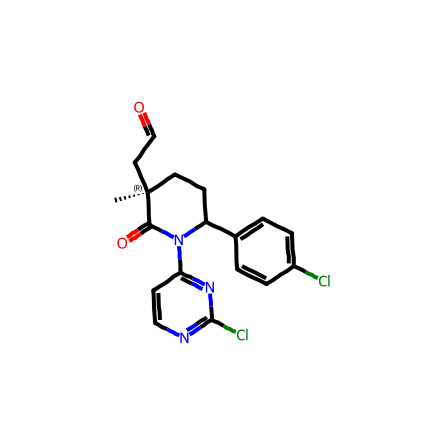 C[C@]1(CC=O)CCC(c2ccc(Cl)cc2)N(c2ccnc(Cl)n2)C1=O